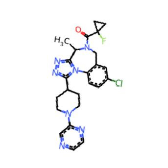 CC1c2nnc(C3CCN(c4cnccn4)CC3)n2-c2ccc(Cl)cc2CN1C(=O)C1(F)CC1